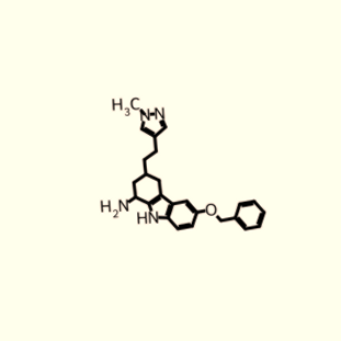 Cn1cc(CCC2Cc3c([nH]c4ccc(OCc5ccccc5)cc34)C(N)C2)cn1